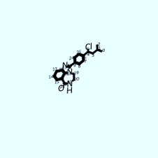 CC(C)CC(Cl)c1ccc(-c2nc3cccc4c3n2CCNC4=O)cc1